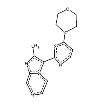 Cc1nc2cnccn2c1-c1nccc(N2CCOCC2)n1